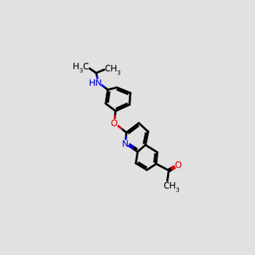 CC(=O)c1ccc2nc(Oc3cccc(NC(C)C)c3)ccc2c1